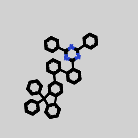 c1ccc(-c2nc(-c3ccccc3)nc(-c3ccccc3-c3ccccc3-c3ccc4c(c3)C(c3ccccc3)(c3ccccc3)c3ccccc3-4)n2)cc1